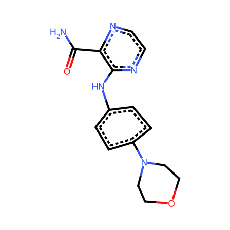 NC(=O)c1nccnc1Nc1ccc(N2CCOCC2)cc1